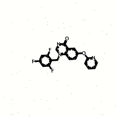 O=c1ncn(Cc2c(F)cc(F)cc2F)c2ccc(Oc3ccccn3)cc12